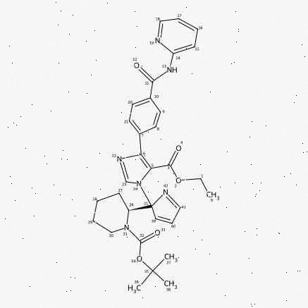 CCOC(=O)c1c(-c2ccc(C(=O)Nc3ccccn3)cc2)ncn1C1([C@@H]2CCCCN2C(=O)OC(C)(C)C)C=CC=N1